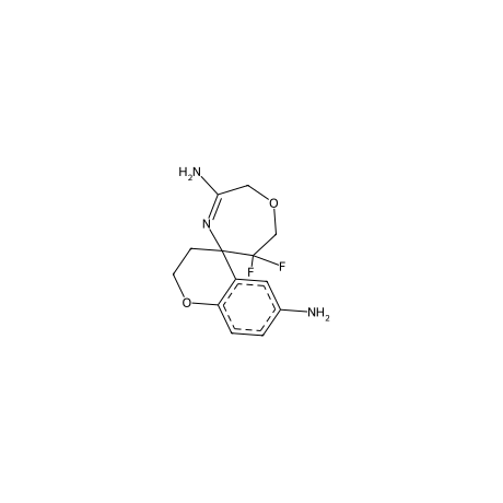 NC1=NC2(CCOc3ccc(N)cc32)C(F)(F)COC1